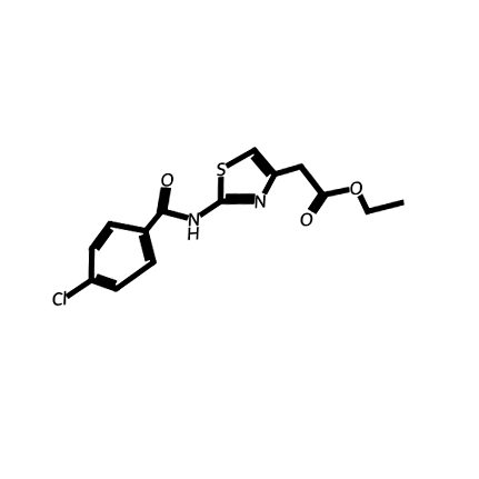 CCOC(=O)Cc1csc(NC(=O)c2ccc(Cl)cc2)n1